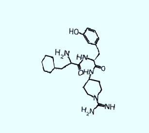 N=C(N)N1CCC(NC(=O)[C@H](Cc2cccc(O)c2)NC(=O)C(N)CC2CCCCC2)CC1